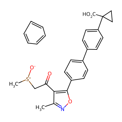 Cc1noc(-c2ccc(-c3ccc(C4(C(=O)O)CC4)cc3)cc2)c1C(=O)C[S+](C)[O-].c1ccccc1